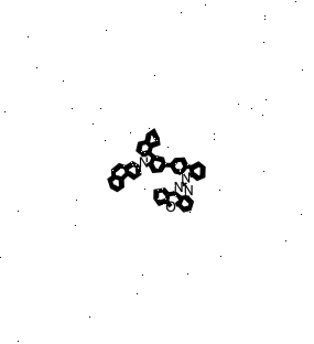 c1ccc2c(c1)Oc1cccc3nc(-n4c5ccccc5c5ccc(-c6ccc7c(c6)c6c8ccccc8ccc6n7-c6ccc7c(ccc8ccccc87)c6)cc54)nc-2c13